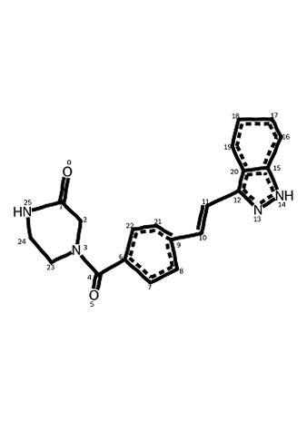 O=C1CN(C(=O)c2ccc(C=Cc3n[nH]c4ccccc34)cc2)CCN1